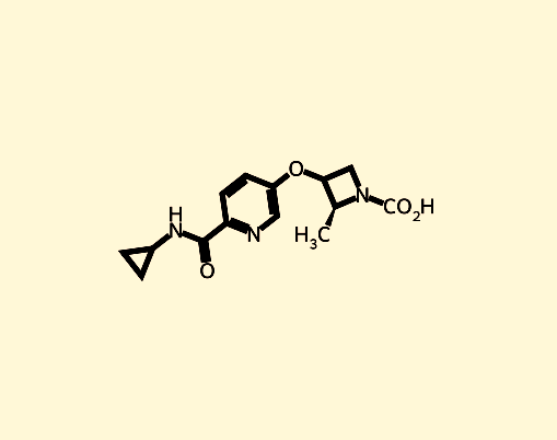 C[C@H]1C(Oc2ccc(C(=O)NC3CC3)nc2)CN1C(=O)O